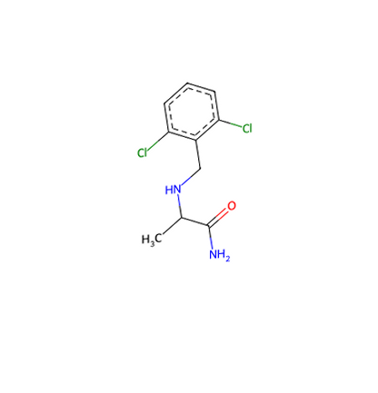 CC(NCc1c(Cl)cccc1Cl)C(N)=O